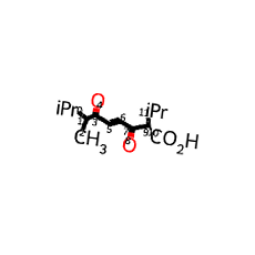 CC(C)C(C)C(=O)C=CC(=O)[C@@H](C(=O)O)C(C)C